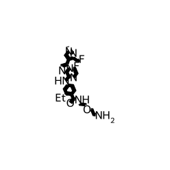 CCc1cc(Nc2nccn3c(-c4cn(C)nc4C(F)F)cnc23)ccc1C(=O)NCCOCCN